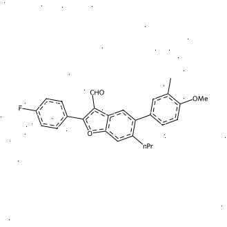 CCCc1cc2oc(-c3ccc(F)cc3)c(C=O)c2cc1-c1ccc(OC)c(C)c1